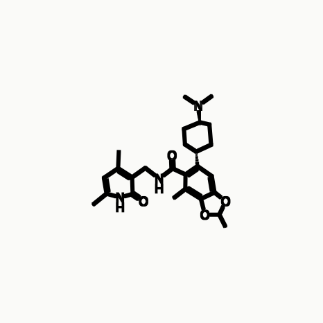 Cc1cc(C)c(CNC(=O)c2c(C)c3c(cc2[C@H]2CC[C@H](N(C)C)CC2)OC(C)O3)c(=O)[nH]1